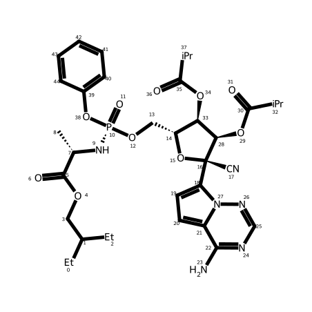 CCC(CC)COC(=O)[C@H](C)N[P@](=O)(OC[C@H]1O[C@@](C#N)(c2ccc3c(N)ncnn23)[C@H](OC(=O)C(C)C)[C@@H]1OC(=O)C(C)C)Oc1ccccc1